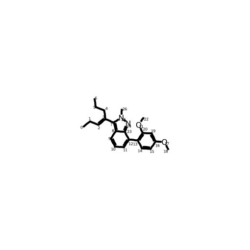 CCC=C(CCC)c1c2cccc(-c3ccc(OC)cc3OC)c2nn1C